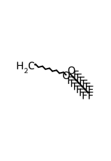 C=CCCCCCCCCOC(=O)C(F)(F)C(F)(F)C(F)(F)C(F)(F)C(F)(F)C(F)(F)F